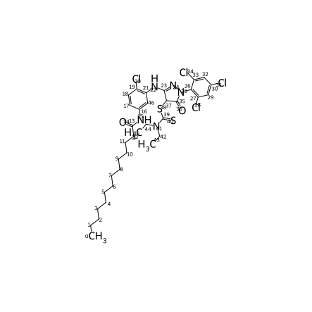 CCCCCCCCCCCCCC(=O)Nc1ccc(Cl)c(NC2=NN(c3c(Cl)cc(Cl)cc3Cl)C(=O)C2SC(=S)N(CC)CC)c1